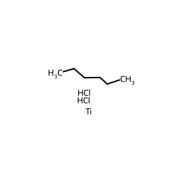 CCCCCC.Cl.Cl.[Ti]